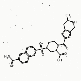 CC1Cc2nc(C(=O)N3CCN(S(=O)(=O)c4ccc5cc(C(=N)N)ccc5c4)CC3C(=O)O)sc2CN1